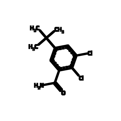 CC(C)(C)c1cc(Cl)c(Cl)c(C(N)=O)c1